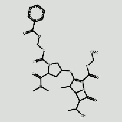 COCOC(=O)C1=C(SC2CC(C(=O)N(C)C)N(C(=O)OCOC(=O)c3ccccc3)C2)C(C)C2C(C(C)O)C(=O)N12